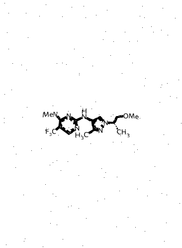 CNc1nc(Nc2cn([C@@H](C)COC)nc2C)ncc1C(F)(F)F